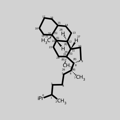 CC(C)C(C)CCC[C@@H](C)[C@H]1CC[C@H]2[C@@H]3CCC4CCCC[C@]4(C)[C@H]3CC[C@]12C